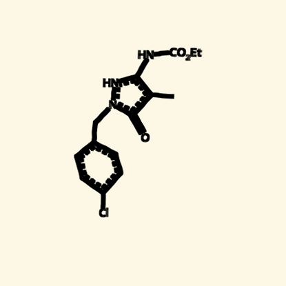 CCOC(=O)Nc1[nH]n(Cc2ccc(Cl)cc2)c(=O)c1C